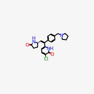 O=C1CC[C@H](C=C(c2ccc(CN3CCCC3)cc2)c2ccc(Cl)c(=O)[nH]2)N1